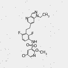 CCn1ncc2ncc(CCc3c(F)ccc(NS(=O)(=O)c4cc(Cl)cnc4OC)c3F)cc21